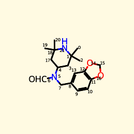 CC1(C)CC(N(C=O)Cc2ccc3c(c2)OCO3)CC(C)(C)N1